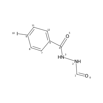 O=CNNC(=O)c1ccc(I)cc1